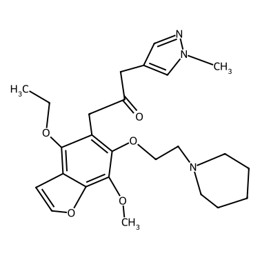 CCOc1c(CC(=O)Cc2cnn(C)c2)c(OCCN2CCCCC2)c(OC)c2occc12